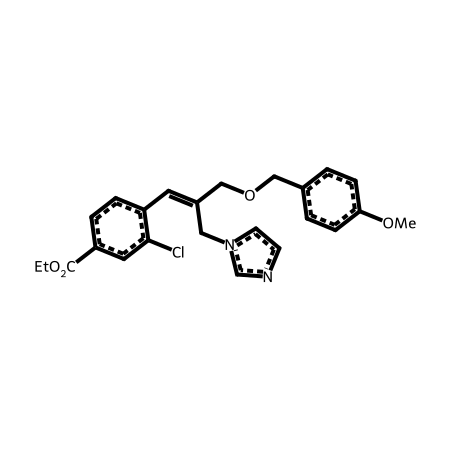 CCOC(=O)c1ccc(/C=C(/COCc2ccc(OC)cc2)Cn2ccnc2)c(Cl)c1